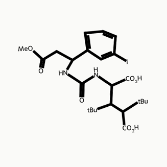 COC(=O)CC(NC(=O)NC(C(=O)O)C(C(C(=O)O)C(C)(C)C)C(C)(C)C)c1cccc(I)c1